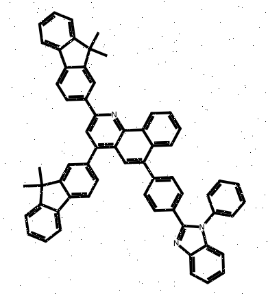 CC1(C)c2ccccc2-c2ccc(-c3cc(-c4ccc5c(c4)C(C)(C)c4ccccc4-5)c4cc(-c5ccc(-c6nc7ccccc7n6-c6ccccc6)cc5)c5ccccc5c4n3)cc21